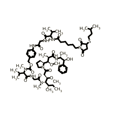 CC[C@H](C)[C@@H]([C@@H](CC(=O)N1CCC[C@H]1[C@H](OC)[C@@H](C)C(=O)N[C@H](C)[C@@H](O)c1ccccc1)OC)N(C)C(=O)CNC(=O)C(C(C)C)N(C)C(=O)OCc1ccc(NC(=O)CNC(=O)C(NC(=O)CCCCCN2C(=O)CC(SCCC(C)C)C2=O)C(C)C)cc1